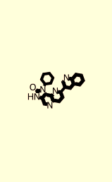 O=c1[nH]c2cnc3ccc(-c4cnc5ccccc5c4)nc3c2n1C1CCCCC1